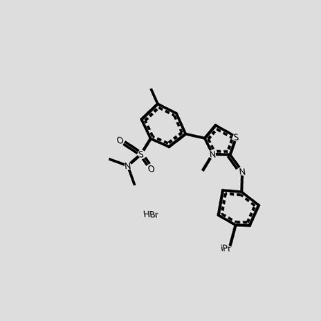 Br.Cc1cc(-c2csc(=Nc3ccc(C(C)C)cc3)n2C)cc(S(=O)(=O)N(C)C)c1